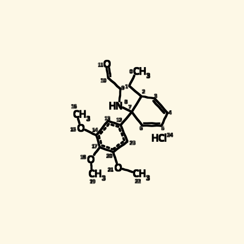 CCC1C=CC=CC1(NCC=O)c1cc(OC)c(OC)c(OC)c1.Cl